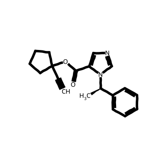 C#CC1(OC(=O)c2cncn2[C@H](C)c2ccccc2)CCCC1